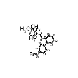 CC(C)(C)OC(=O)C=Cc1ccccc1-c1ccc(CBr)cc1